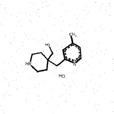 Cc1ccnc(CC2(CO)CCNCC2)c1.Cl